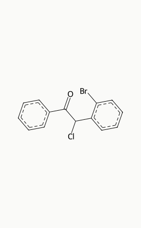 O=C(c1ccccc1)C(Cl)c1ccccc1Br